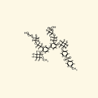 COC1(F)C(F)(F)C(F)(F)C1(F)Oc1ccc(-c2ccc(OC3(F)C(F)(F)C(F)(F)C3(F)Oc3ccc(S(=O)(=O)c4ccc(C)cc4)cc3)c(C(F)(F)C(F)(F)OC(F)(F)C(F)(F)S(=O)(=O)O)c2)cc1C(F)(F)C(F)(F)OC(F)(F)C(F)(F)SOOO